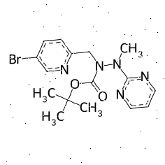 CN(c1ncccn1)N(Cc1ccc(Br)cn1)C(=O)OC(C)(C)C